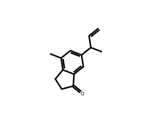 C=CC(C)c1cc(C)c2c(c1)C(=O)CC2